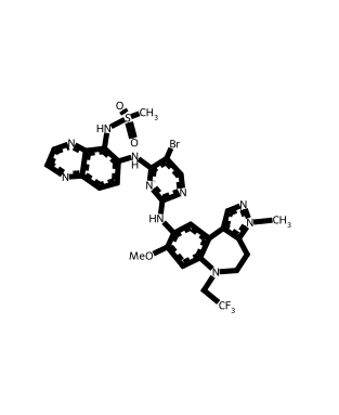 COc1cc2c(cc1Nc1ncc(Br)c(Nc3ccc4nccnc4c3NS(C)(=O)=O)n1)-c1cnn(C)c1CCN2CC(F)(F)F